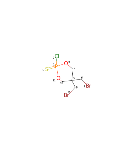 S=P1(Cl)OCC(CBr)(CBr)CO1